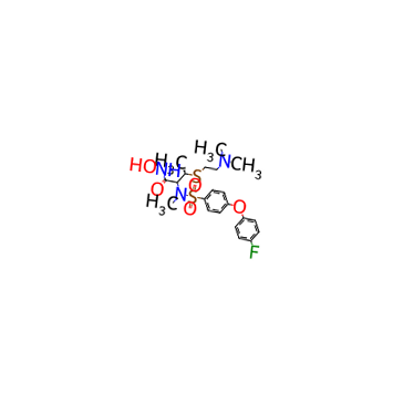 C[C@@H](SCCN(C)C)C(C(=O)NO)N(C)S(=O)(=O)c1ccc(Oc2ccc(F)cc2)cc1